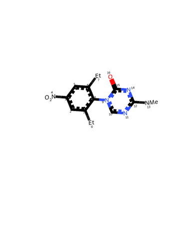 CCc1cc([N+](=O)[O-])cc(CC)c1-n1cnc(NC)nc1=O